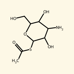 CC(=O)SC1OC(CO)C(O)C(N)C1O